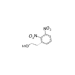 O=[N+]([O-])c1cccc(CCO)c1[N+](=O)[O-]